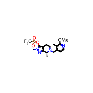 COc1nccc(CN2CCc3c(nn(C)c3OS(=O)(=O)C(F)(F)F)[C@@H]2C)c1C